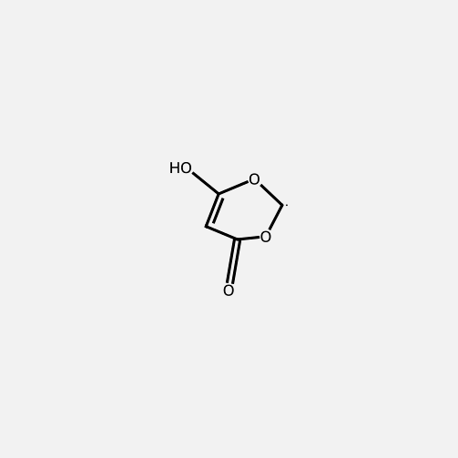 O=C1C=C(O)O[CH]O1